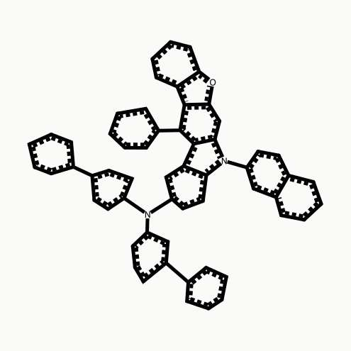 c1ccc(-c2ccc(N(c3cccc(-c4ccccc4)c3)c3ccc4c(c3)c3c(-c5ccccc5)c5c(cc3n4-c3ccc4ccccc4c3)oc3ccccc35)cc2)cc1